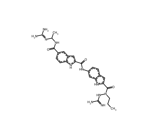 CCCN(NC(=N)N)C(=O)c1cc2ccc(NC(=O)c3cc4cc(C(=O)NC(C)N=C(N)N)ccc4[nH]3)cc2[nH]1